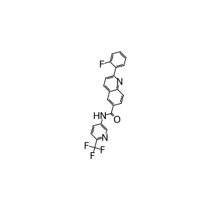 O=C(Nc1ccc(C(F)(F)F)nc1)c1ccc2nc(-c3ccccc3F)ccc2c1